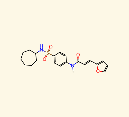 CN(C(=O)C=Cc1ccco1)c1ccc(S(=O)(=O)NC2CCCCCC2)cc1